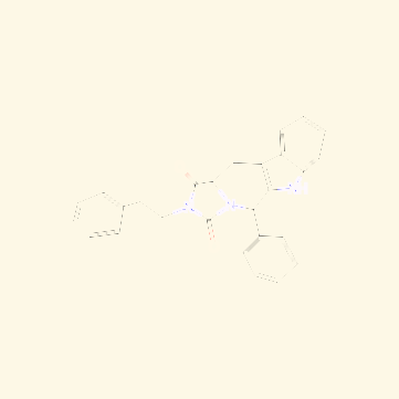 O=C1C2Cc3c([nH]c4ccccc34)C(c3ccccc3)N2C(=O)N1CCc1ccccc1